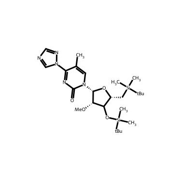 CO[C@H]1C(O[Si](C)(C)C(C)(C)C)[C@@H](C[Si](C)(C)C(C)(C)C)O[C@H]1n1cc(C)c(-n2cncn2)nc1=O